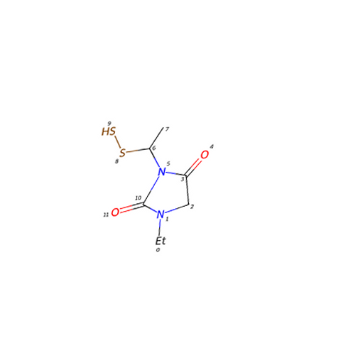 CCN1CC(=O)N(C(C)SS)C1=O